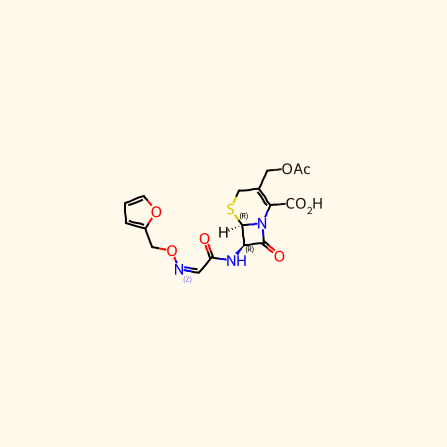 CC(=O)OCC1=C(C(=O)O)N2C(=O)[C@@H](NC(=O)/C=N\OCc3ccco3)[C@H]2SC1